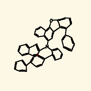 c1ccc(-c2ccc(-c3ccccc3N(c3ccc4ccccc4c3)c3cc4c(oc5cccc(-c6ccccc6)c54)c4ccccc34)cc2)cc1